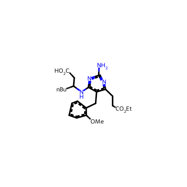 CCCCC(CC(=O)O)Nc1nc(N)nc(CCC(=O)OCC)c1Cc1ccccc1OC